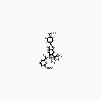 COc1cccc(C(=O)Nc2cc3cn([C@H]4CC[C@H](CO)CC4)nc3cc2C(C)(C)O)n1